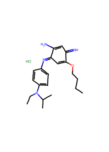 CCCCOC1=CC(=Nc2ccc(N(CC)C(C)C)cc2)C(N)=CC1=N.Cl